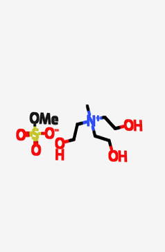 COS(=O)(=O)[O-].C[N+](CCO)(CCO)CCO